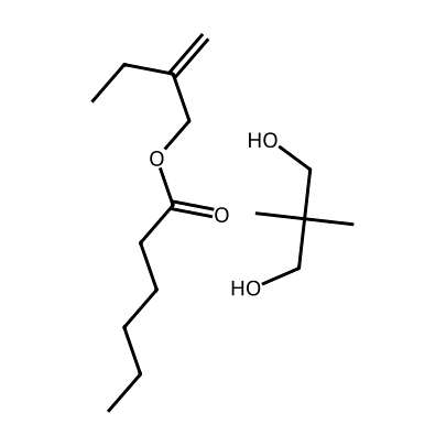 C=C(CC)COC(=O)CCCCC.CC(C)(CO)CO